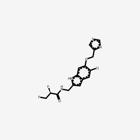 O=C(NCc1cc2cc(Cl)c(OCc3cscn3)cc2[nH]1)[C@H](F)CF